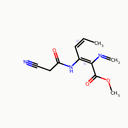 C=N/C(C(=O)OC)=C(\C=C/C)NC(=O)CC#N